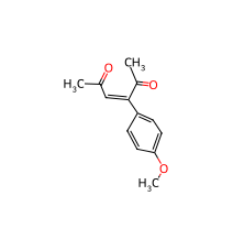 COc1ccc(/C(=C/C(C)=O)C(C)=O)cc1